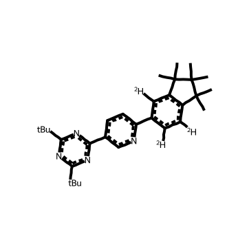 [2H]c1c([2H])c2c(c([2H])c1-c1ccc(-c3nc(C(C)(C)C)nc(C(C)(C)C)n3)cn1)C(C)(C)C(C)(C)C2(C)C